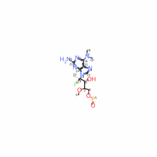 COC(COP=O)[C@@H](O)[C@@](C)(F)n1cnc2c(N(C)C)nc(N)nc21